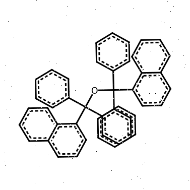 c1ccc(C(OC(c2ccccc2)(c2ccccc2)c2cccc3ccccc23)(c2ccccc2)c2cccc3ccccc23)cc1